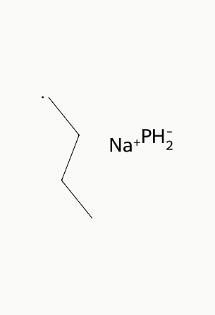 [CH2]CCC.[Na+].[PH2-]